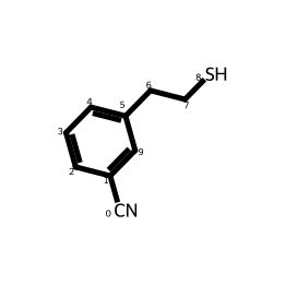 N#Cc1cccc(CCS)c1